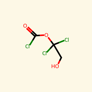 O=C(Cl)OC(Cl)(Cl)CO